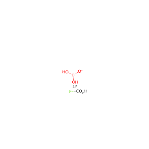 O=C(O)F.[Li+].[O-]B(O)O